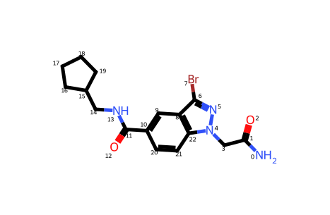 NC(=O)Cn1nc(Br)c2cc(C(=O)NCC3CCCC3)ccc21